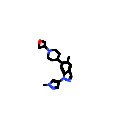 Cc1cc2cnn(-c3cnn(C)c3)c2cc1C1CCN(C2COC2)CC1